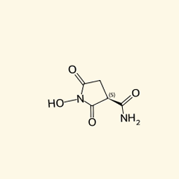 NC(=O)[C@@H]1CC(=O)N(O)C1=O